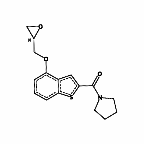 O=C(c1cc2c(OC[C@@H]3CO3)cccc2s1)N1CCCC1